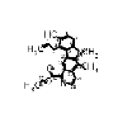 C=CCc1c(O)ccc2c1c1cc3c(C(=O)OCC)nccc3c(C)c1n2C